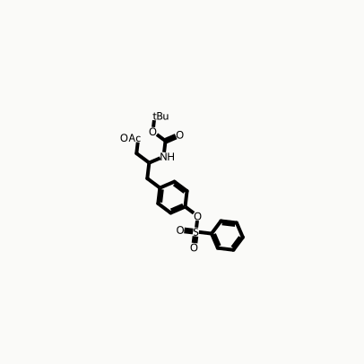 CC(=O)OCC(Cc1ccc(OS(=O)(=O)c2ccccc2)cc1)NC(=O)OC(C)(C)C